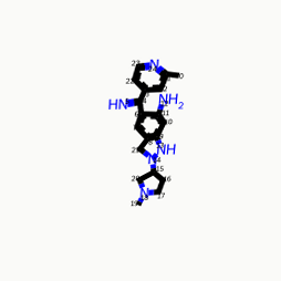 Cc1cc(C(=N)c2cc3c(cc2N)NN(C2CCN(C)C2)C3)ccn1